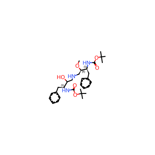 CO[C@H](CNCC(O)[C@H](Cc1ccccc1)NC(=O)OC(C)(C)C)[C@H](Cc1ccccc1)NC(=O)OC(C)(C)C